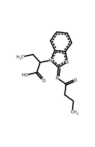 CCCC(=O)/N=c1\sc2ccccc2n1C(CC)C(=O)O